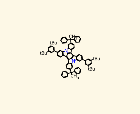 CC(C)(C)c1cc(-c2ccc3c4c5c6ccc(C(C)(c7ccccc7)c7ccccc7)cc6n6c7cc(-c8cc(C(C)(C)C)cc(C(C)(C)C)c8)ccc7c(c7c8ccc(C(C)(c9ccccc9)c9ccccc9)cc8n(c3c2)c47)c56)cc(C(C)(C)C)c1